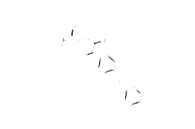 CC[C@@H](CC(=N)[C@H](C)CC)C(=N)C(=O)c1ccc(OCc2ccccn2)cc1